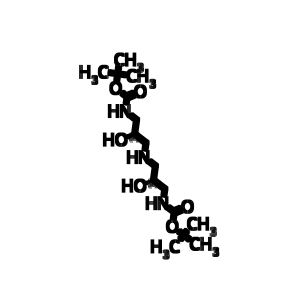 CC(C)(C)OC(=O)NC[C@H](O)CNC[C@@H](O)CNC(=O)OC(C)(C)C